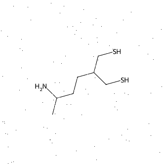 CC(N)CCC(CS)CS